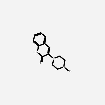 CC(C)N1CCN(c2cc3ccccc3[nH]c2=O)CC1